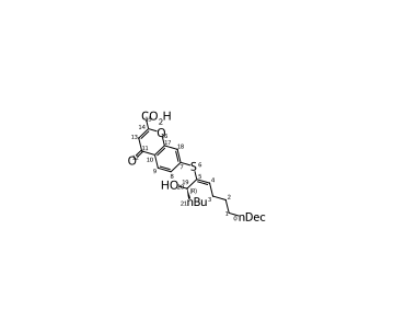 CCCCCCCCCCCCCC=C(Sc1ccc2c(=O)cc(C(=O)O)oc2c1)[C@H](O)CCCC